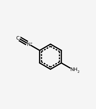 [C-]#[N+]c1ccc(N)cc1